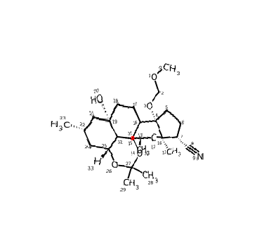 COCO[C@]12CC[C@H](C#N)[C@@]1(C)C[C@@H](C)C1C2CC[C@]2(O)C[C@@H](C)C[C@H]3OC(C)(C)OC[C@]132